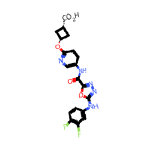 O=C(Nc1ccc(O[C@H]2C[C@@H](C(=O)O)C2)nc1)c1nnc(Nc2ccc(F)c(F)c2)o1